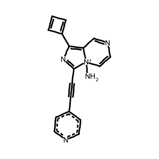 N[N+]12C=CN=CC1=C(C1=CC=C1)N=C2C#Cc1ccncc1